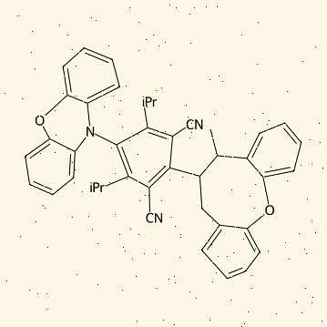 CC(C)c1c(C#N)c(C2Cc3ccccc3Oc3ccccc3C2C)c(C#N)c(C(C)C)c1N1c2ccccc2Oc2ccccc21